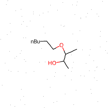 CCCCCCOC(C)C(C)O